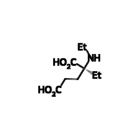 CCN[C@@](CC)(CCC(=O)O)C(=O)O